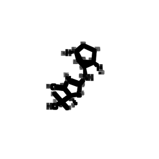 CC(C)(O)[C@]1(C)SC(N[C@H]2C[C@H]3CC[C@H]2C3)=NC1=O